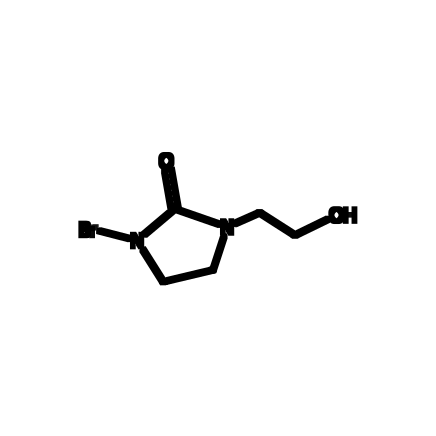 O=C1N(Br)CCN1CCO